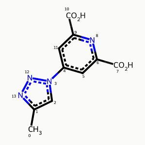 Cc1cn(-c2cc(C(=O)O)nc(C(=O)O)c2)nn1